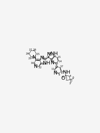 CC(C)(C)CC(=O)Nc1cncc(-c2ccc3[nH]nc(-c4nc5c(N6CCCCC6)cncc5[nH]4)c3n2)c1